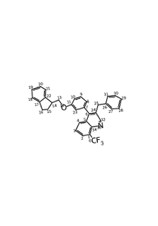 FC(F)(F)c1cccc2c(-c3cccc(OCC4CCc5ccccc54)c3)c(Cc3ccccc3)cnc12